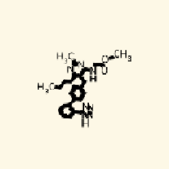 CCCCc1nc(C)nc(NCC(=O)OCC)c1Cc1ccc(-c2ccccc2-c2nnn[nH]2)cc1